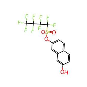 O=S(=O)(Oc1ccc2ccc(O)cc2c1)C(F)(F)C(F)(F)C(F)(F)C(F)(F)F